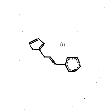 C1=CCC(CC=Cc2ccccc2)=C1.[LiH]